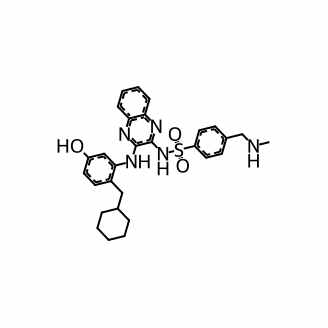 CNCc1ccc(S(=O)(=O)Nc2nc3ccccc3nc2Nc2cc(O)ccc2CC2CCCCC2)cc1